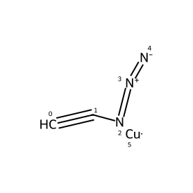 C#CN=[N+]=[N-].[Cu]